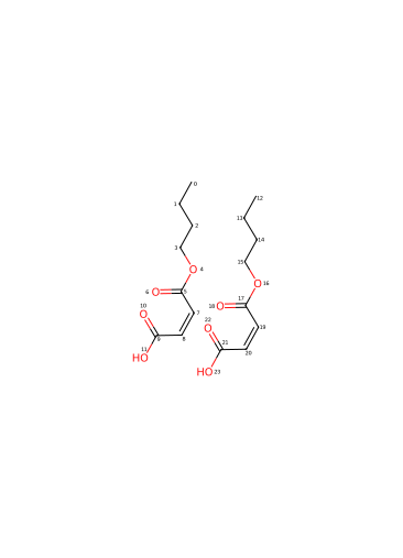 CCCCOC(=O)/C=C\C(=O)O.CCCCOC(=O)/C=C\C(=O)O